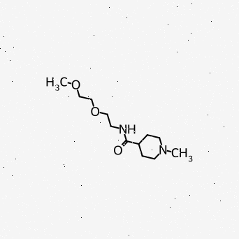 COCCOCCNC(=O)C1CCN(C)CC1